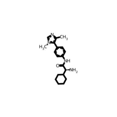 Cc1ncn(C)c1-c1ccc(NC(=O)[C@@H](N)C2CCCCC2)cc1